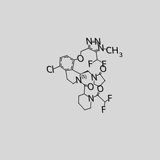 Cn1nnc(COc2ccc(Cl)c3c2[C@@H](CN2CCCC2=O)N(C(=O)C2CCCCN2C(=O)C(F)F)CC3)c1C(F)F